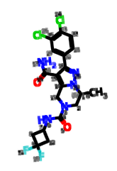 C[C@H]1CN(C(=O)NC2CC(F)(F)C2)Cc2c(C(N)=O)c(-c3ccc(Cl)c(Cl)c3)nn21